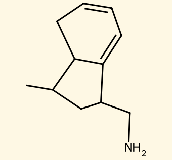 CC1CC(CN)C2=CC=CCC21